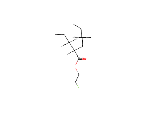 CCC(C)(C)CC(C)(C(=O)OCCF)C(C)(C)CC